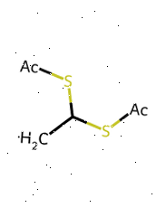 [CH2]C(SC(C)=O)SC(C)=O